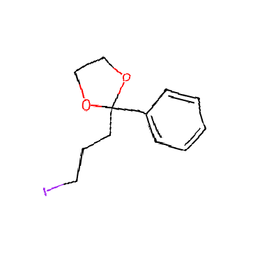 ICCCC1(c2ccccc2)OCCO1